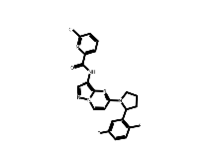 O=C(Nc1cnn2ccc(N3CCCC3c3cc(F)ccc3F)nc12)c1cccc(Cl)n1